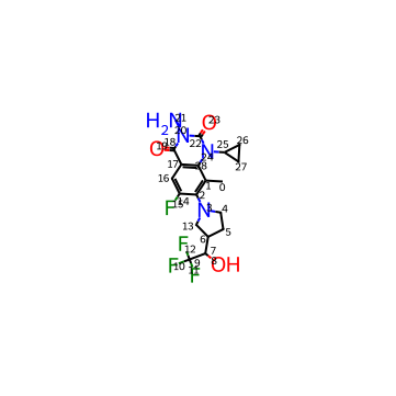 Cc1c(N2CCC(C(O)C(F)(F)F)C2)c(F)cc2c(=O)n(N)c(=O)n(C3CC3)c12